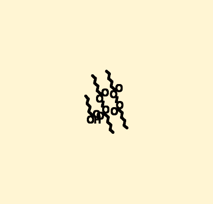 CCCCCC(=O)O.CCCCCC(=O)OCCOC(=O)CCCCC.CCCCCC(=O)OCCOC(=O)CCCCC